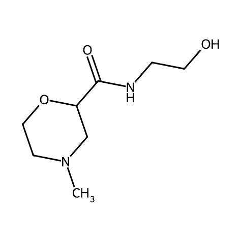 CN1CCOC(C(=O)NCCO)C1